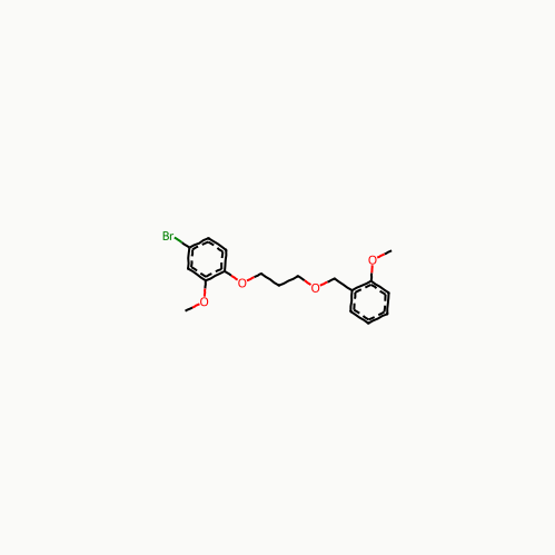 COc1ccccc1COCCCOc1ccc(Br)cc1OC